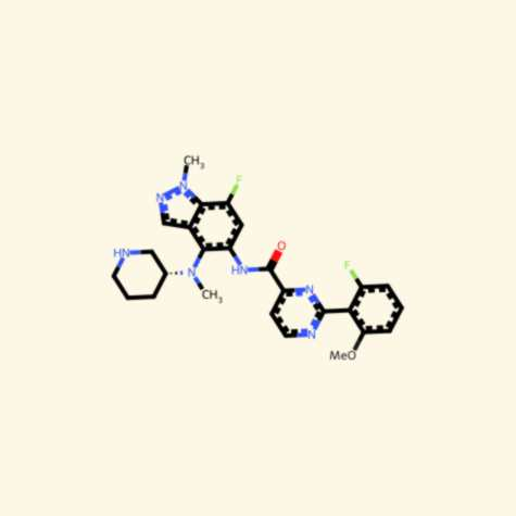 COc1cccc(F)c1-c1nccc(C(=O)Nc2cc(F)c3c(cnn3C)c2N(C)[C@@H]2CCCNC2)n1